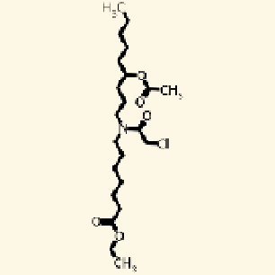 CCCCCC(CCCN(CCCCCCC(=O)OCC)C(=O)CCl)OC(C)=O